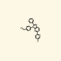 Fc1ccc(-c2ccc3nc(-c4ccccc4)n(-c4ccc(CCl)cc4)c3n2)nc1